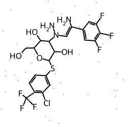 N/C(=C\N(N)C1C(O)C(CO)OC(Sc2ccc(C(F)(F)F)c(Cl)c2)C1O)c1cc(F)c(F)c(F)c1